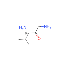 CC(C)[C@H](N)C(=O)CN